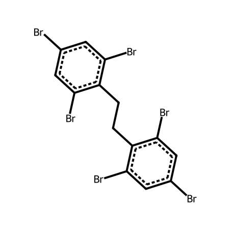 Brc1cc(Br)c(CCc2c(Br)cc(Br)cc2Br)c(Br)c1